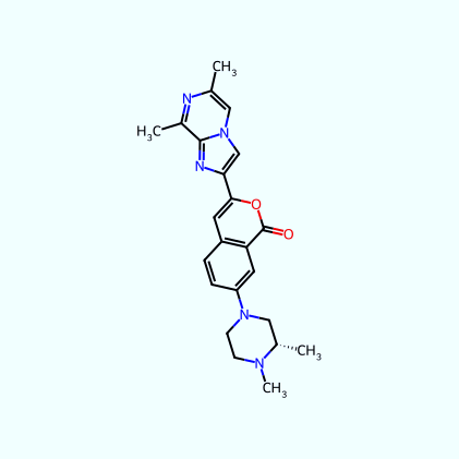 Cc1cn2cc(-c3cc4ccc(N5CCN(C)[C@@H](C)C5)cc4c(=O)o3)nc2c(C)n1